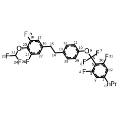 CCCc1cc(F)c(C(F)(F)Oc2ccc(CCc3cc(F)c(OC(F)F)c(F)c3)cc2)c(F)c1